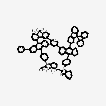 CCc1nc2ccccc2n1-c1ccc(-c2c3ccccc3c(-c3ccc4c(c3)C(c3ccccc3)(c3ccccc3)c3ccccc3-4)c3cc(-c4ccc(-c5ccc6c(c5)-c5c(-c7c8ccccc8c(-c8ccc(-n9c(CC)nc%10ccccc%109)cc8)c8ccc(-c9ccccc9)cc78)cccc5C6(C)C)cc4)ccc23)cc1